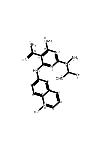 CCC(C=O)N(N)c1nc(Nc2ccc3c(ccc[n+]3[O-])c2)c(C(N)=O)c(OC)n1